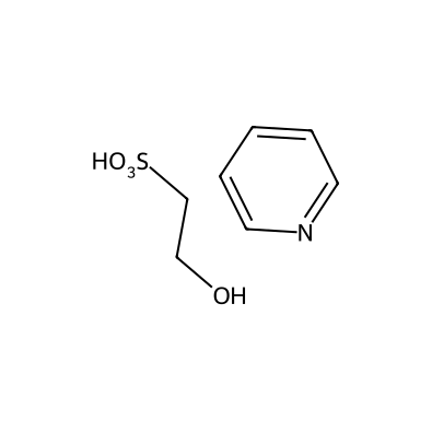 O=S(=O)(O)CCO.c1ccncc1